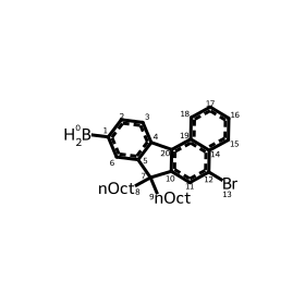 Bc1ccc2c(c1)C(CCCCCCCC)(CCCCCCCC)c1cc(Br)c3ccccc3c1-2